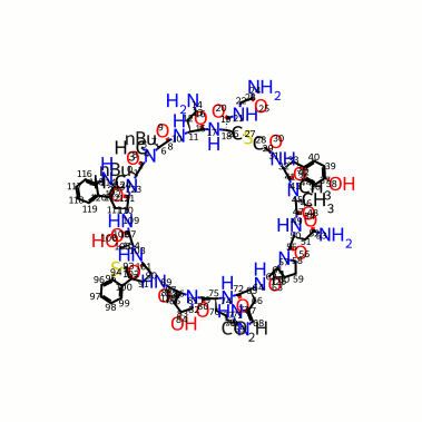 CCCC[C@H]1C(=O)N(C)[C@@H](CCCC)C(=O)N[C@@H](CCN)C(=O)N[C@H](C(=O)NCC(N)=O)CSCC(=O)N[C@@H](Cc2ccc(O)cc2)C(=O)N(C)[C@@H](C)C(=O)N[C@@H](CC(N)=O)C(=O)N2CCC[C@H]2C(=O)N[C@@H](Cc2cnc[nH]2)C(=O)N[C@@H](CCC(=O)O)C(=O)N2C[C@H](O)C[C@H]2C(=O)N[C@@H](Cc2csc3ccccc23)C(=O)N[C@@H](CO)C(=O)N[C@@H](Cc2c[nH]c3ccccc23)C(=O)N1C